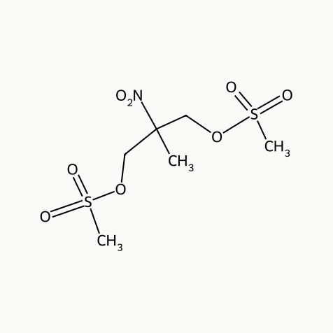 CC(COS(C)(=O)=O)(COS(C)(=O)=O)[N+](=O)[O-]